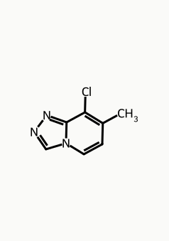 Cc1ccn2cnnc2c1Cl